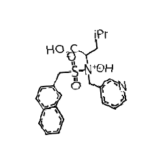 CC(C)CC(C(=O)O)[N@@+](O)(Cc1cccnc1)S(=O)(=O)Cc1ccc2ccccc2c1